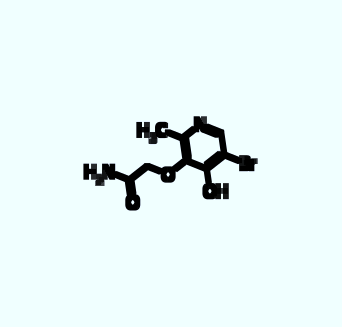 Cc1ncc(Br)c(O)c1OCC(N)=O